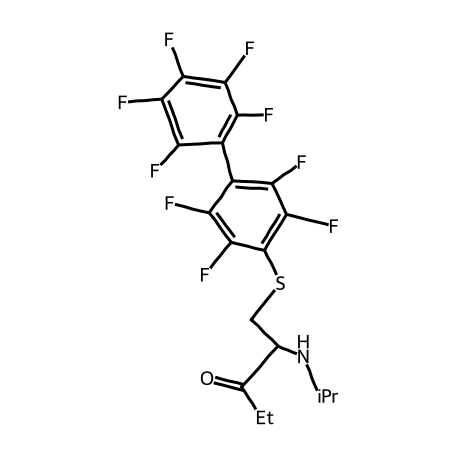 CCC(=O)C(CSc1c(F)c(F)c(-c2c(F)c(F)c(F)c(F)c2F)c(F)c1F)NC(C)C